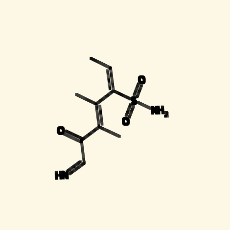 C/C=C(\C(C)=C(/C)C(=O)C=N)S(N)(=O)=O